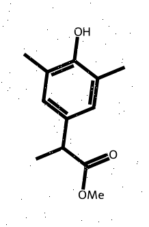 COC(=O)C(C)c1cc(C)c(O)c(C)c1